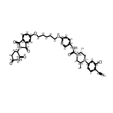 C[C@@H]1CN(c2ccc(C#N)c(Cl)c2)[C@@H](C)CN1C(=O)Nc1ccc(OCCCCCOc2ccc3c(c2)C(=O)N(C2CCC(=O)NC2=O)C3=O)nc1